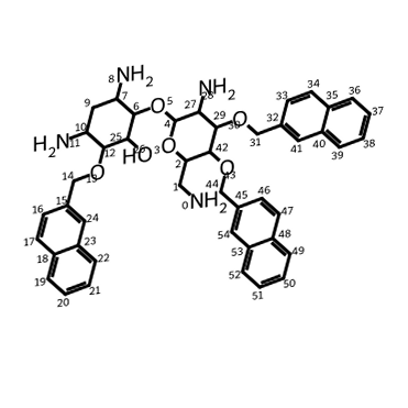 NCC1OC(OC2C(N)CC(N)C(OCc3ccc4ccccc4c3)C2O)C(N)C(OCc2ccc3ccccc3c2)C1OCc1ccc2ccccc2c1